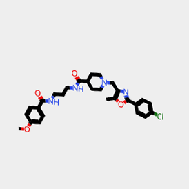 COc1ccc(C(=O)NCCCNC(=O)C2CCN(Cc3nc(-c4ccc(Cl)cc4)oc3C)CC2)cc1